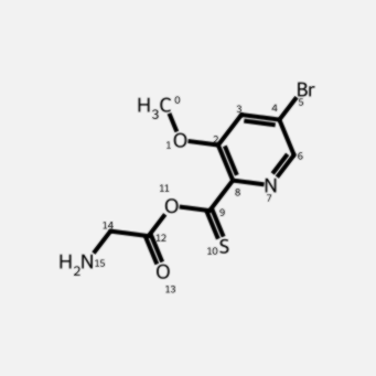 COc1cc(Br)cnc1C(=S)OC(=O)CN